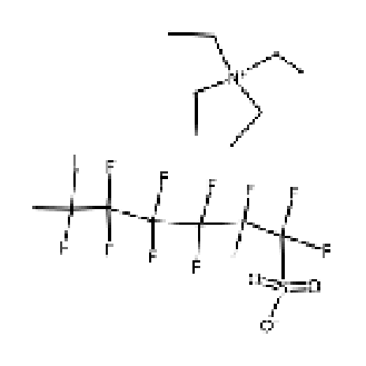 CC(F)(F)C(F)(F)C(F)(F)C(F)(F)C(F)(F)C(F)(F)S(=O)(=O)[O-].CC[N+](CC)(CC)CC